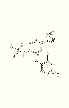 CN.CS(=O)(=O)Nc1ccc(S(=O)(=O)O)cc1Oc1ccc(Cl)cc1Cl.Cl